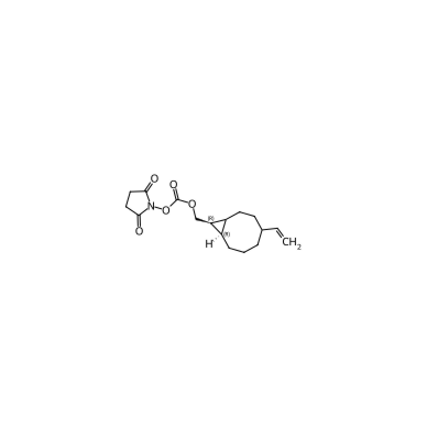 C=CC1CCC[C@@H]2C(CC1)[C@@H]2COC(=O)ON1C(=O)CCC1=O